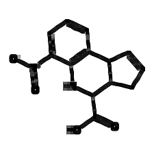 O=C(O)C1Nc2c(cccc2[N+](=O)[O-])C2C=CCC12